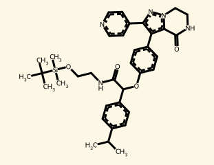 CC(C)c1ccc(C(Oc2ccc(-c3c(-c4ccncc4)nn4c3C(=O)NCC4)cc2)C(=O)NCCO[Si](C)(C)C(C)(C)C)cc1